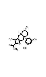 CCN1CC[C@@]2(c3cccc(O)c3)Cc3[nH]c(C(N)=O)c(C)c3C[C@@H]2C1.Cl